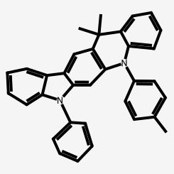 Cc1ccc(N2c3ccccc3C(C)(C)c3cc4c5ccccc5n(-c5ccccc5)c4cc32)cc1